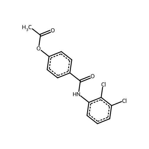 CC(=O)Oc1ccc(C(=O)Nc2cccc(Cl)c2Cl)cc1